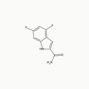 NC(=O)c1cc2c(F)cc(F)cc2[nH]1